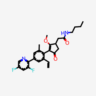 C=Cc1cc(-c2ncc(F)cc2F)cc(C)c1C1=C(OC)C(CC(=O)NCCCC)CC1=O